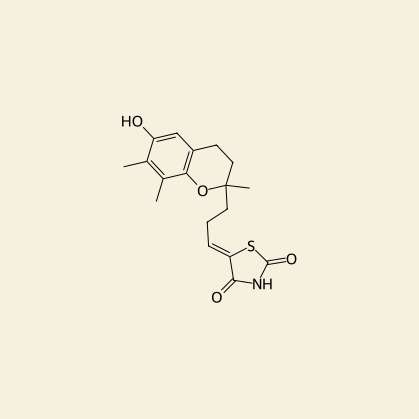 Cc1c(O)cc2c(c1C)OC(C)(CC/C=C1\SC(=O)NC1=O)CC2